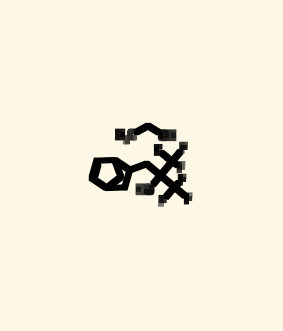 CCO.OC(CC1CC2C=CC1C2)(C(F)(F)F)C(F)(F)F